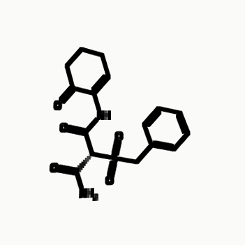 NC(=O)[C@H](C(=O)NC1=CCCCC1=O)S(=O)(=O)Cc1ccccc1